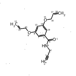 C#CCNC(=O)c1cc(OCC=C)cc(OCC=C)c1